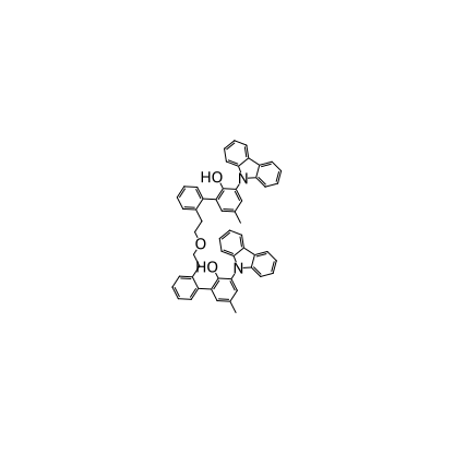 Cc1cc(-c2ccccc2CCOCCc2ccccc2-c2cc(C)cc(-n3c4ccccc4c4ccccc43)c2O)c(O)c(-n2c3ccccc3c3ccccc32)c1